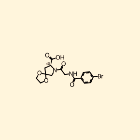 O=C(NCC(=O)N1CC2(C[C@H]1C(=O)O)OCCO2)c1ccc(Br)cc1